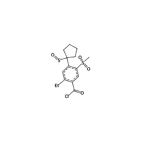 CCc1cc(C2([S+]=O)CCCC2)c(S(C)(=O)=O)cc1C(=O)Cl